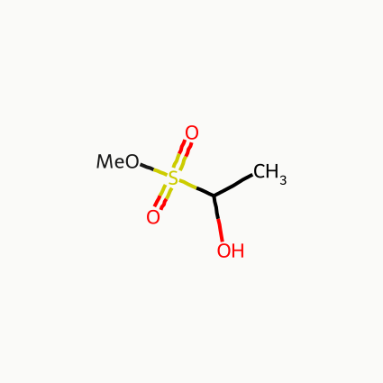 COS(=O)(=O)C(C)O